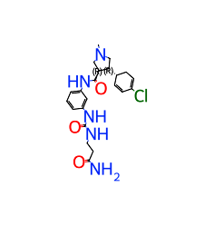 CN1C[C@H](C(=O)Nc2cccc(NC(=O)NCCC(N)=O)c2)[C@@H](C2C=CC(Cl)=CC2)C1